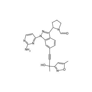 Cc1cc(C(C)(O)C#Cc2ccc3c(C4CCCN4C=O)nn(-c4ccnc(N)n4)c3c2)no1